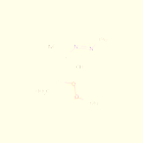 CC(C)(C)N=NC(C)(C#N)CC(OOC(C)(C)C)C(=O)O